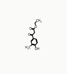 CCOC(=O)CC(=O)c1ccc(O)c(C)c1